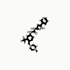 CN1CCN(Cc2ccc(NC(=O)Nc3cc(-c4cccnc4)[nH]n3)cc2C(F)(F)F)CC1